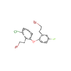 Fc1ccc(Oc2cccc(Cl)c2CCBr)c(CCBr)c1